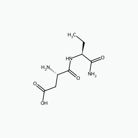 CC[C@H](NC(=O)[C@@H](N)CC(=O)O)C(N)=O